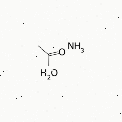 CC(C)=O.N.O